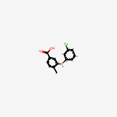 Cc1ccc(C(=O)O)cc1Sc1cccc(F)c1